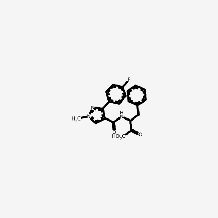 Cn1cc(C(=O)NC(Cc2ccccc2)C(=O)C(=O)O)c(-c2ccc(F)cc2)n1